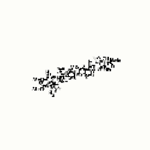 COC(=O)N[C@H](C(=O)N1[C@@H](C)CC[C@H]1c1nc2ccc3cc4c(cc3c2[nH]1)OCc1cc(-c2[nH]c([C@@H]3CC[C@H](C)N3C(=O)[C@@H](NC(=O)OC)[C@@H](C)OC)nc2C2CC2)ccc1-4)C(C)C